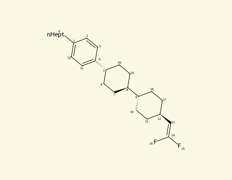 CCCCCCCc1ccc([C@H]2CC[C@H]([C@H]3CC[C@H](C=C(F)F)CC3)CC2)cc1